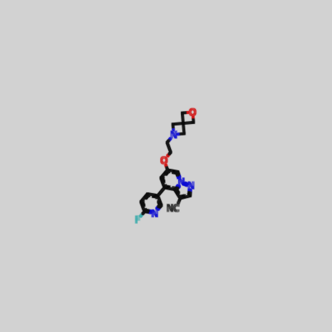 N#Cc1cnn2cc(OCCN3CC4(COC4)C3)cc(-c3ccc(F)nc3)c12